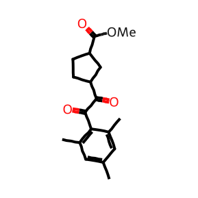 COC(=O)C1CCC(C(=O)C(=O)c2c(C)cc(C)cc2C)C1